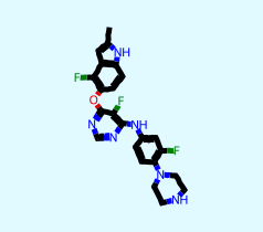 Cc1cc2c(F)c(Oc3ncnc(Nc4ccc(N5CCNCC5)c(F)c4)c3F)ccc2[nH]1